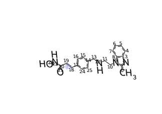 Cc1nc2ccccc2n1CCNCc1ccc(/C=C/C(=O)NO)cc1